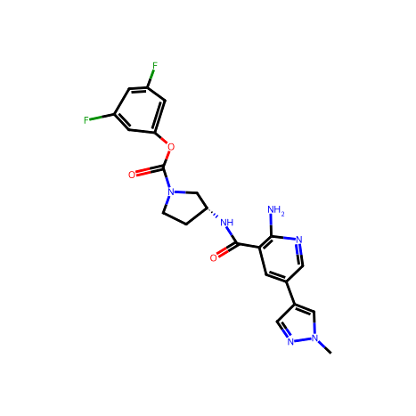 Cn1cc(-c2cnc(N)c(C(=O)N[C@@H]3CCN(C(=O)Oc4cc(F)cc(F)c4)C3)c2)cn1